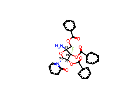 N[C@]1(COC(=O)c2ccccc2)O[C@@H](n2ccccc2=O)[C@H](OC(=O)c2ccccc2)[C@]1(F)OC(=O)c1ccccc1